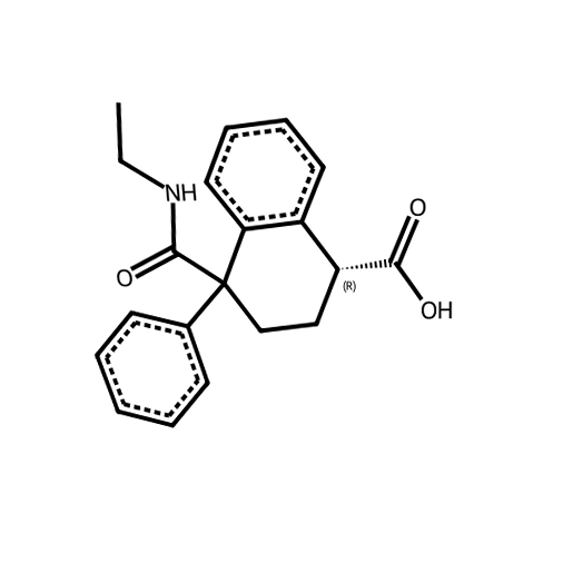 CCNC(=O)C1(c2ccccc2)CC[C@@H](C(=O)O)c2ccccc21